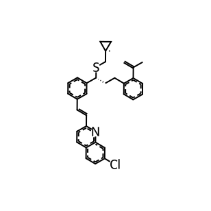 C=C(C)c1ccccc1CC[C@@H](SC[C]1CC1)c1cccc(/C=C/c2ccc3ccc(Cl)cc3n2)c1